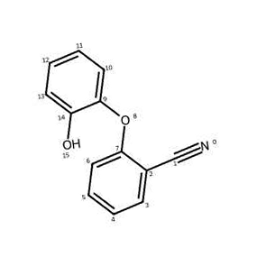 N#Cc1ccccc1Oc1ccccc1O